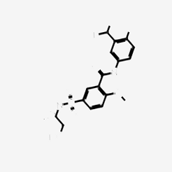 COc1ccc(S(=O)(=O)N[C@@H](C)CO)cc1C(=O)Nc1ccc(F)c(C(F)F)c1